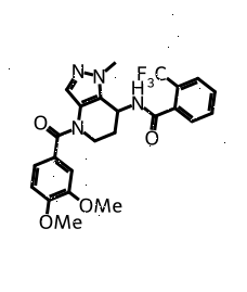 COc1ccc(C(=O)N2CCC(NC(=O)c3ccccc3C(F)(F)F)c3c2cnn3C)cc1OC